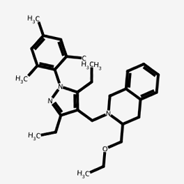 CCOCC1Cc2ccccc2CN1Cc1c(CC)nn(-c2c(C)cc(C)cc2C)c1CC